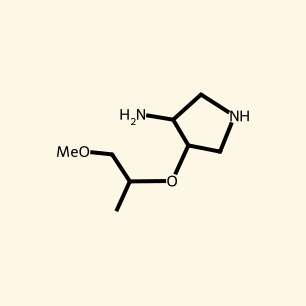 COCC(C)OC1CNCC1N